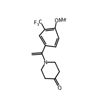 C=C(c1ccc(OC)c(C(F)(F)F)c1)N1CCC(=O)CC1